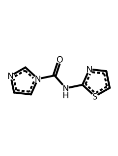 O=C(Nc1nccs1)n1ccnc1